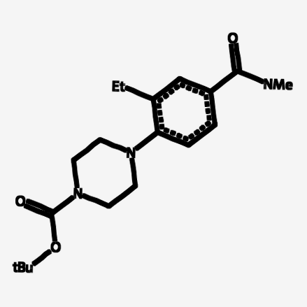 CCc1cc(C(=O)NC)ccc1N1CCN(C(=O)OC(C)(C)C)CC1